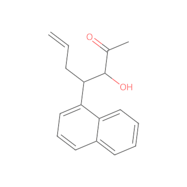 C=CCC(c1cccc2ccccc12)C(O)C(C)=O